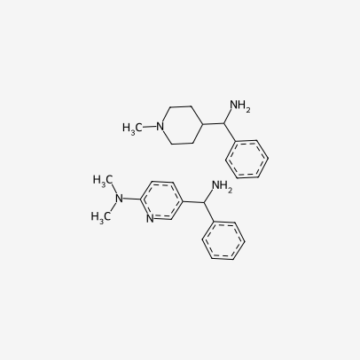 CN(C)c1ccc(C(N)c2ccccc2)cn1.CN1CCC(C(N)c2ccccc2)CC1